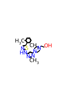 Cc1nc(Nc2ncc(-c3c(C)cccc3C)s2)cc(N2CCN(CCO)CC2)n1